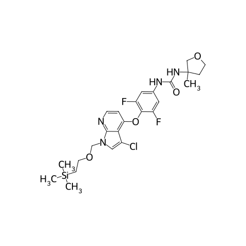 CC1(NC(=O)Nc2cc(F)c(Oc3ccnc4c3c(Cl)cn4COCC[Si](C)(C)C)c(F)c2)CCOC1